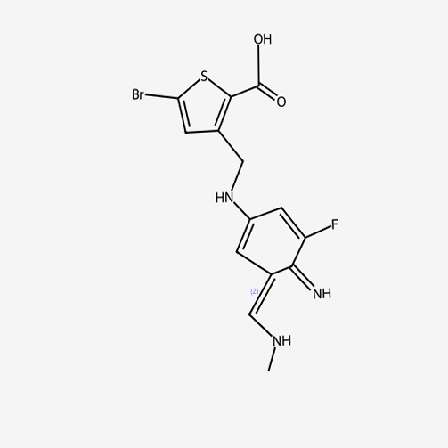 CN/C=C1/C=C(NCc2cc(Br)sc2C(=O)O)C=C(F)C1=N